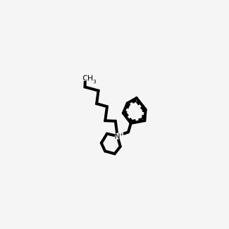 CCCCCCC[N+]1(Cc2ccccc2)CCCCC1